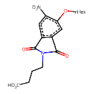 CCCCCCOc1cc2c(cc1[N+](=O)[O-])C(=O)N(CCCC(=O)O)C2=O